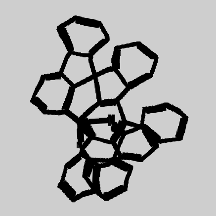 c1ccc(-c2nc(-c3cccc4c3C3(c5ccccc5-4)c4ccccc4-c4c3cc3c5c(cccc45)-c4ccccc4-3)nc3ccccc23)cc1